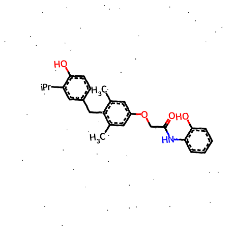 Cc1cc(OCC(=O)Nc2ccccc2O)cc(C)c1Cc1ccc(O)c(C(C)C)c1